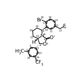 Cc1cc([C@H]2OC(=O)N3[C@H](c4cc(CF)ccc4Br)CCC[C@@H]23)cc(C(F)(F)F)c1